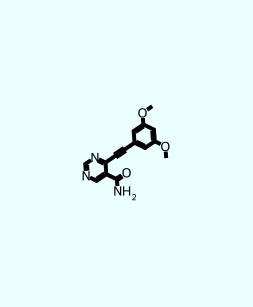 COc1cc(C#Cc2ncncc2C(N)=O)cc(OC)c1